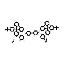 C=CCOc1ccc(C2(c3ccc(C(C)(C)C)cc3)c3ccccc3-c3ccc(N(c4ccc(-c5ccc(N(c6ccc(C)c(F)c6)c6ccc7c(c6)C(c6ccc(OCC=C)cc6)(c6ccc(C(C)(C)C)cc6)c6ccccc6-7)cc5)cc4)c4ccc(C)c(F)c4)cc32)cc1